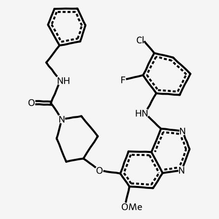 COc1cc2ncnc(Nc3cccc(Cl)c3F)c2cc1OC1CCN(C(=O)NCc2ccccc2)CC1